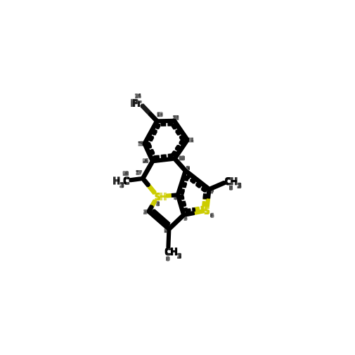 CC1=C[SH]2c3c1sc(C)c3-c1ccc(C(C)C)cc1C2C